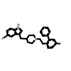 Fc1ccc(CCN2CCC(Cc3c[nH]c4ccc(F)cc34)CC2)c(-c2ccccc2)c1